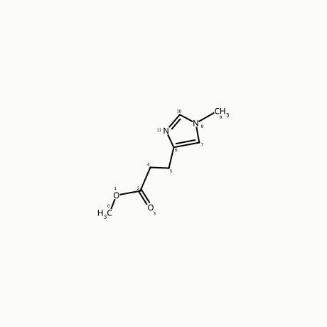 COC(=O)CCc1cn(C)cn1